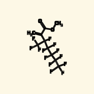 C=C(C(=O)OC)C(F)(C(F)(F)F)C(F)(F)C(F)(F)C(F)(F)C(F)(F)F